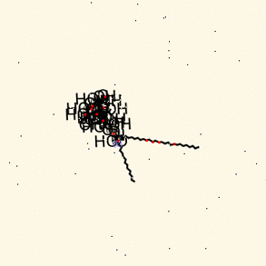 CCCCCCCCCCCCC/C=C/[C@@H](O)[C@H](CO[C@@H]1OC(CO)[C@@H](O[C@@H]2OC(CO)[C@H](O[C@@H]3OC(CO)[C@H](O)[C@H](O)C3NC(C)=O)[C@H](O[C@]3(C(=O)O)CC(O)[C@@H](O)C([C@H](O)[C@H](O)CO)O3)C2O)[C@H](O)C1O)NC(=O)CCCCCCCCCCCCCCCCCCCCCCCCC